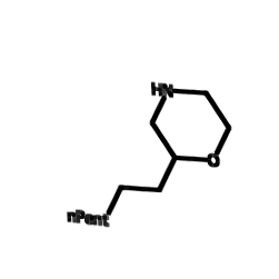 CCCCCCCC1CNCCO1